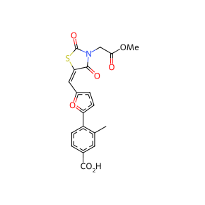 COC(=O)CN1C(=O)SC(=Cc2ccc(-c3ccc(C(=O)O)cc3C)o2)C1=O